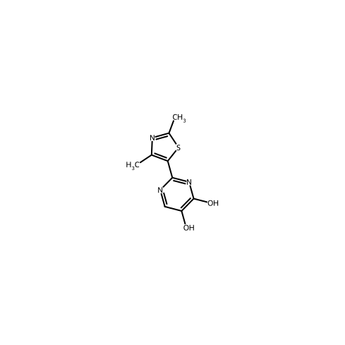 Cc1nc(C)c(-c2ncc(O)c(O)n2)s1